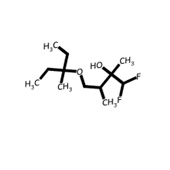 CCC(C)(CC)OCC(C)C(C)(O)C(F)F